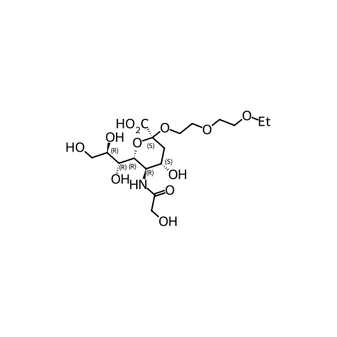 CCOCCOCCO[C@@]1(C(=O)O)C[C@H](O)[C@@H](NC(=O)CO)[C@H]([C@H](O)[C@H](O)CO)O1